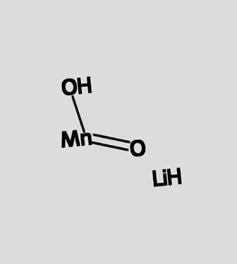 [LiH].[O]=[Mn][OH]